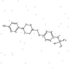 [O]c1ccc(N2CCN(CCc3ccc(OC(F)(F)F)cc3)CC2)cc1